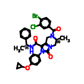 C[C@@H](NC(=O)c1c2n(c(=O)n1-c1ccc(OC3CC3)cc1)C[C@H](C)N(C(=O)c1ccc(Br)c(Cl)c1)C2)c1ccccc1